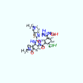 CN1CCc2nc(C(=O)N[C@@H]3C[C@@H](C(=O)N(C)C)CC[C@@H]3NC(=O)c3cccc(/C(N)=N\O)c3)sc2C1.Cl